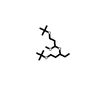 CCC(CCOC(C)(C)C)OC(CCOC(C)(C)C)OC